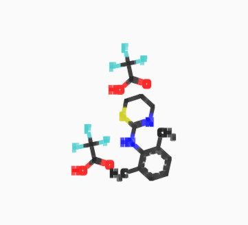 Cc1cccc(C)c1NC1=NCCCS1.O=C(O)C(F)(F)F.O=C(O)C(F)(F)F